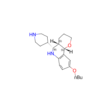 CCCCOc1ccc2c(c1)[C@H]1OCCC[C@H]1[C@@H](C1CCNCC1)N2